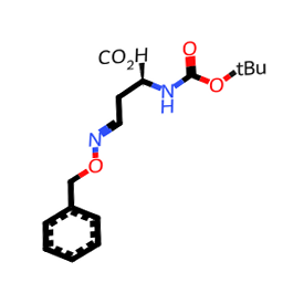 CC(C)(C)OC(=O)N[C@@H](CC=NOCc1ccccc1)C(=O)O